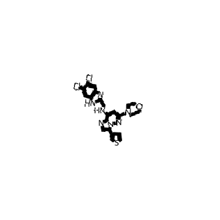 Clc1cc2nc(CNc3cc(N4CCOCC4)nn4c(-c5ccsc5)cnc34)[nH]c2cc1Cl